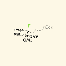 CCCCCCCCCCCCCC(F)(CCCCCCC)[Si](OC)(OC)OC